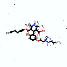 C#CCCC#COC(=O)C1=C(C)N(C)C(C)=C(C(=O)O)C1c1cc(OCCC(C)NCCC)ccc1Br